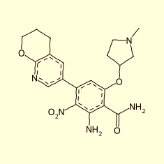 CN1CCC(Oc2cc(-c3cnc4c(c3)CCCO4)c([N+](=O)[O-])c(N)c2C(N)=O)C1